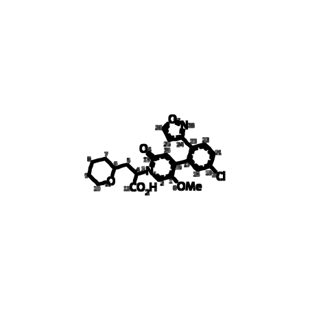 COc1cn(C(CC2CCCCO2)C(=O)O)c(=O)cc1-c1cc(Cl)ccc1-c1ccon1